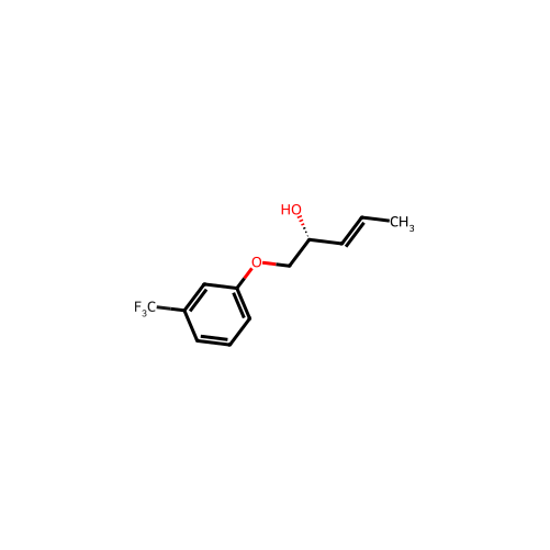 C/C=C/[C@@H](O)COc1cccc(C(F)(F)F)c1